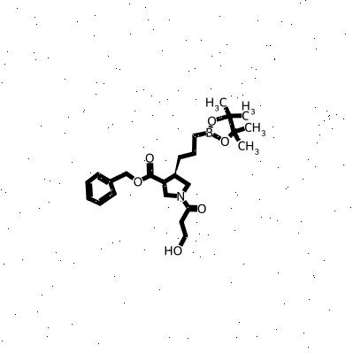 CC1(C)OB(CCC[C@H]2CN(C(=O)CCO)CC2C(=O)OCc2ccccc2)OC1(C)C